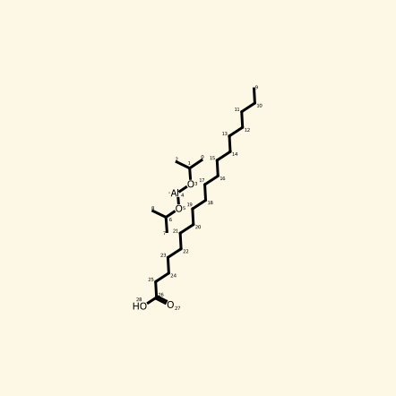 CC(C)[O][Al][O]C(C)C.CCCCCCCCCCCCCCCCCC(=O)O